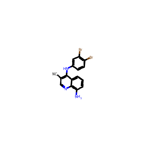 N#Cc1cnc2c(N)cccc2c1Nc1ccc(Br)c(Br)c1